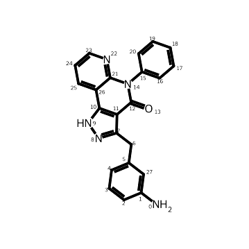 Nc1cccc(Cc2n[nH]c3c2c(=O)n(-c2ccccc2)c2ncccc32)c1